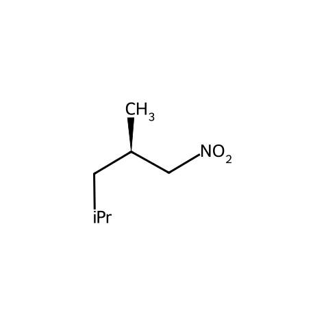 CC(C)C[C@@H](C)C[N+](=O)[O-]